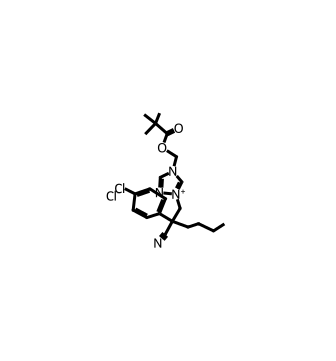 CCCCC(C#N)(C[n+]1cn(COC(=O)C(C)(C)C)cn1)c1ccc(Cl)cc1.[Cl-]